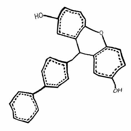 Oc1ccc2c(c1)C(c1ccc(-c3ccccc3)cc1)c1cc(O)ccc1O2